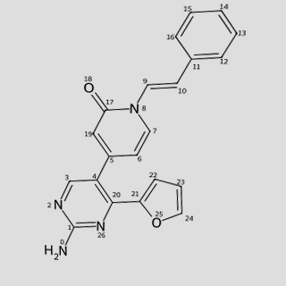 Nc1ncc(-c2ccn(C=Cc3ccccc3)c(=O)c2)c(-c2ccco2)n1